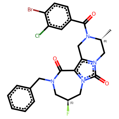 C[C@@H]1Cn2c(c3n(c2=O)C[C@@H](F)CN(Cc2ccccc2)C3=O)CN1C(=O)c1ccc(Br)c(Cl)c1